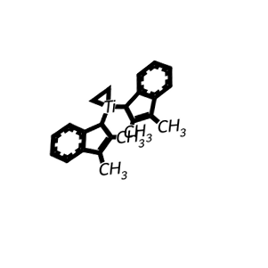 CC1=C(C)[CH]([Ti]2([CH]3C(C)=C(C)c4ccccc43)[CH2][CH2]2)c2ccccc21